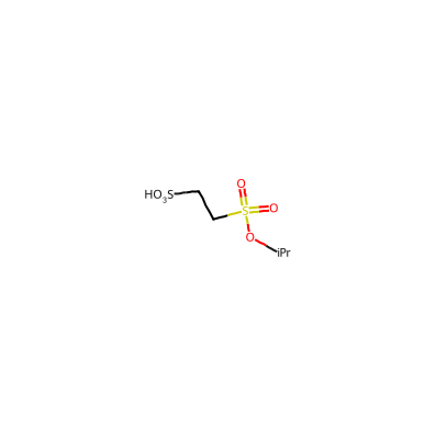 CC(C)OS(=O)(=O)CCS(=O)(=O)O